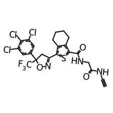 C#CNC(=O)CNC(=O)c1sc(C2=NOC(c3cc(Cl)c(Cl)c(Cl)c3)(C(F)(F)F)C2)c2c1CCCC2